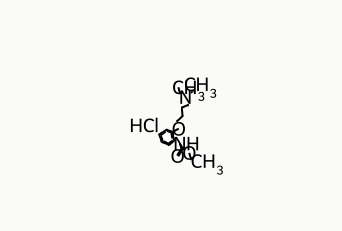 CCOC(=O)Nc1ccccc1OCCCCN(CC)CC.Cl